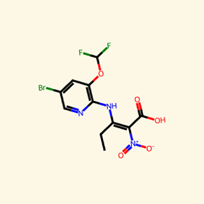 CCC(Nc1ncc(Br)cc1OC(F)F)=C(C(=O)O)[N+](=O)[O-]